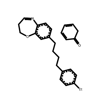 CCc1ccc(CCCCc2ccc3c(c2)OCCC=N3)cc1.O=C1C=CC=CC1